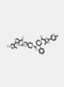 Cc1ccc(-c2nc(C)c(C(=O)N3CC[C@@H](C(=O)N4CCC(O)(CN5CNC6=C(CSC6c6c[nH]nc6C)C5=O)CC4)[C@H](c4ccccc4)C3)s2)cn1